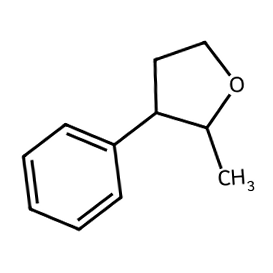 CC1OCCC1c1ccccc1